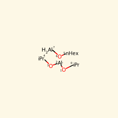 CC(C)[O][Al][O]C(C)C.CCCCCC[O][AlH2]